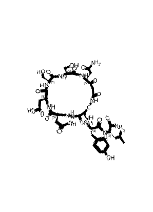 CC(C)C[C@H](NC(=O)[C@H](Cc1ccc(O)cc1)NNC1CNC(=O)CC(=O)[C@H](CC(N)=O)NC(=O)[C@H](CO)NC(=O)[C@H](CO)NC(=O)[C@H](CC(=O)O)NC(=O)[C@H](CC(=O)O)NNC1=O)C(N)=O